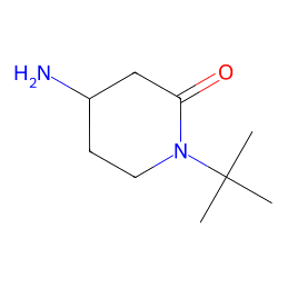 CC(C)(C)N1CCC(N)CC1=O